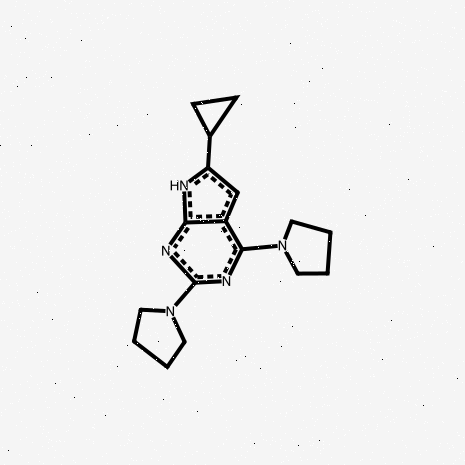 c1c(C2CC2)[nH]c2nc(N3CCCC3)nc(N3CCCC3)c12